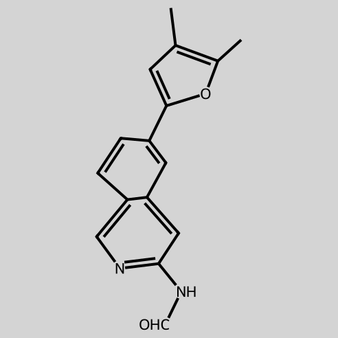 Cc1cc(-c2ccc3cnc(NC=O)cc3c2)oc1C